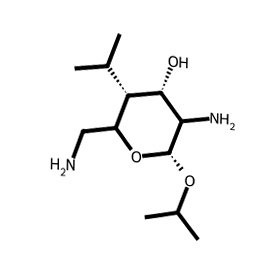 CC(C)O[C@@H]1OC(CN)[C@H](C(C)C)[C@H](O)C1N